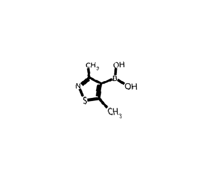 Cc1nsc(C)c1B(O)O